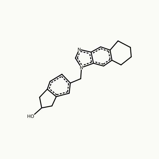 OC1Cc2ccc(Cn3cnc4cc5c(cc43)CCCC5)cc2C1